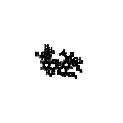 COC1(C)C(=O)N(C2CC2)c2cc3c(N[C@H](C)c4cccc(C(F)(F)C(C)(C)O)c4C)nnc(C)c3cc21